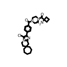 NC1(C(=O)N2CCN(C(=O)c3ccc(-c4nc5n(c4Cl)CCC4(CCCCCC4)C5)cc3)CC2)CCC1